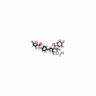 Cc1ccc(C(=O)Nc2ccc(-c3cc(N(C(=O)[C@H]4CC[C@H](C)CC4)C(C)C)c(C(=O)O)s3)cc2)o1